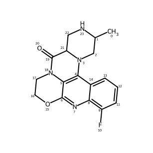 CC1CN2c3c4c(nc5c(F)cccc35)OCCN4C(=O)C2CN1